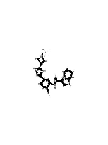 O=C(Nc1cc(-c2noc(C3CN(C(=O)O)C3)n2)ccc1F)c1cnc2ccccn12